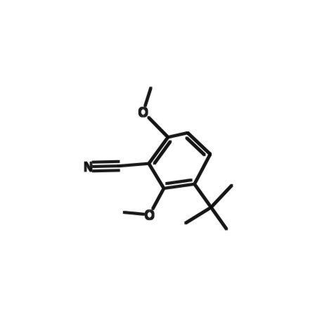 COc1ccc(C(C)(C)C)c(OC)c1C#N